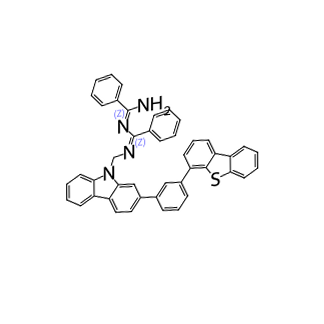 N/C(=N\C(=N/Cn1c2ccccc2c2ccc(-c3cccc(-c4cccc5c4sc4ccccc45)c3)cc21)c1ccccc1)c1ccccc1